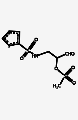 CS(=O)(=O)OC(C=O)CNS(=O)(=O)c1cccs1